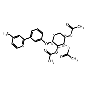 CC(=O)O[C@@H]1[C@@H](OC(C)=O)[C@@H](Oc2cccc(-c3cc(C)ccn3)c2)SC[C@H]1OC(C)=O